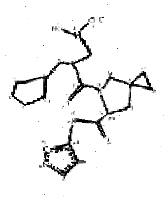 O=CN(O)CC(CC1CCCC1)C(=O)N1CC2(CC2)C[C@H]1C(=O)Nc1ccno1